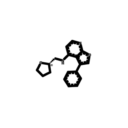 c1ccc(-c2coc3nccc(NC[C@@H]4CCCO4)c23)cc1